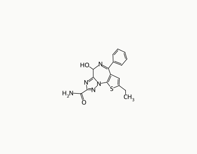 CCc1cc2c(s1)-n1nc(C(N)=O)nc1C(O)N=C2c1ccccc1